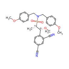 COc1ccc(CN(Cc2ccc(OC)cc2)S(=O)(=O)[C@@H](C)[C@H](OC)c2ccc(C#N)cc2C#N)cc1